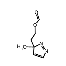 CC1(CCOC=O)C=CN=N1